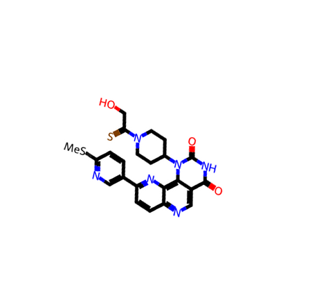 CSc1ccc(-c2ccc3ncc4c(=O)[nH]c(=O)n(C5CCN(C(=S)CO)CC5)c4c3n2)cn1